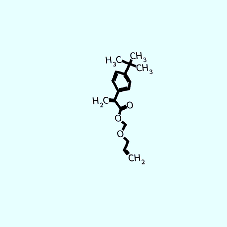 C=CCOCOC(=O)C(=C)c1ccc(C(C)(C)C)cc1